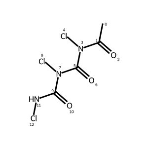 CC(=O)N(Cl)C(=O)N(Cl)C(=O)NCl